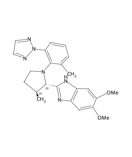 COc1cc2nc([C@@H]3[C@@H](C)CCN3c3c(-n4nccn4)[c]ccc3C)[nH]c2cc1OC